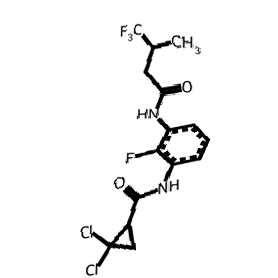 CC(CC(=O)Nc1cccc(NC(=O)C2CC2(Cl)Cl)c1F)C(F)(F)F